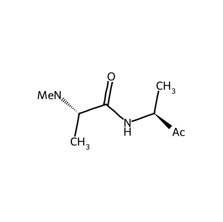 CN[C@@H](C)C(=O)N[C@@H](C)C(C)=O